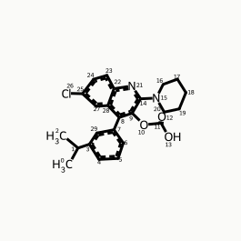 CC(C)c1cccc(-c2c(OC(=O)O)c(N3CCCCC3)nc3ccc(Cl)cc23)c1